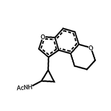 CC(=O)NC1CC1c1coc2ccc3c(c12)CCCO3